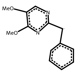 COc1cnc([CH]c2ccccc2)nc1OC